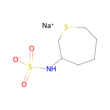 O=S(=O)([O-])NC1CCCCSC1.[Na+]